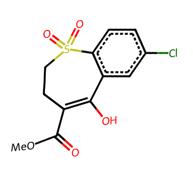 COC(=O)C1=C(O)c2cc(Cl)ccc2S(=O)(=O)CC1